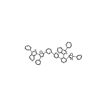 c1ccc(-c2nc(-c3cccc(-c4ccc(-c5cccc(-c6cc(-c7ccccc7)c(-c7sc(-c8ccccc8)c8ccccc78)o6)c5)cc4)c3-c3sc(-c4ccccc4)c4ccccc34)co2)cc1